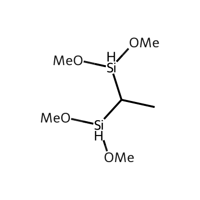 CO[SiH](OC)C(C)[SiH](OC)OC